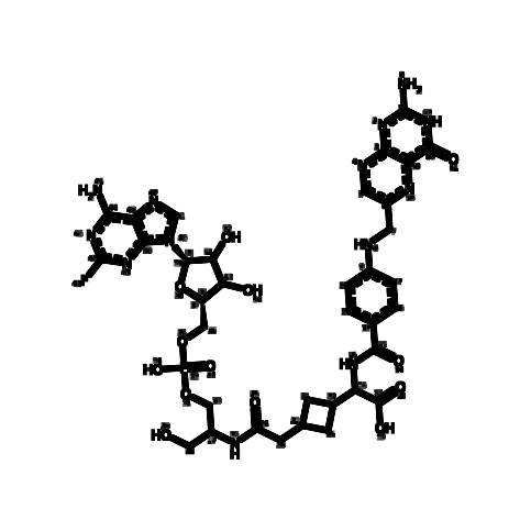 Nc1nc2ncc(CNc3ccc(C(=O)NC(C(=O)O)C4CC(CC(=O)NC(CO)COP(=O)(O)OC[C@H]5O[C@@H](n6cnc7c(N)nc(F)nc76)C(O)C5O)C4)cc3)nc2c(=O)[nH]1